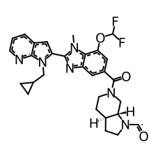 Cn1c(-c2cc3cccnc3n2CC2CC2)nc2cc(C(=O)N3CC[C@@H]4CCN([C]=O)[C@H]4C3)cc(OC(F)F)c21